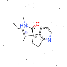 CC/C=C(\C)[C@@]1(C(=O)NC)CCc2ncccc21